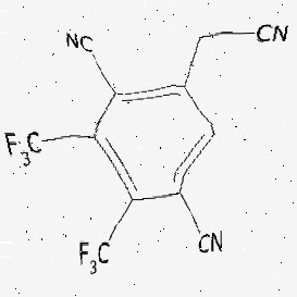 N#CCc1cc(C#N)c(C(F)(F)F)c(C(F)(F)F)c1C#N